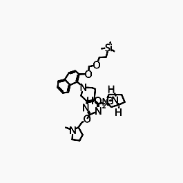 CN1CCCC1COc1nc2c(c(N3C[C@H]4CC[C@@H](C3)N4C(=O)O)n1)CCN(c1c(OCOCC[Si](C)(C)C)ccc3ccccc13)C2